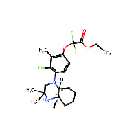 CCOC(=O)C(F)(F)Oc1ccc(N2CC(C)(C)N[C@H]3CCCC[C@H]32)c(F)c1C